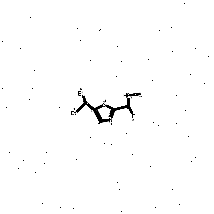 CCC(CC)c1cnc(C(F)PC)s1